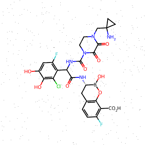 NC1(CN2CCN(C(=O)NC(C(=O)N[C@H]3Cc4ccc(F)c(C(=O)O)c4OB3O)c3c(F)cc(O)c(O)c3Cl)C(=O)C2=O)CC1